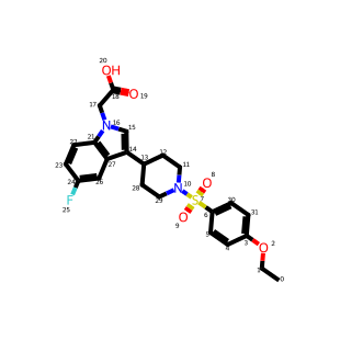 CCOc1ccc(S(=O)(=O)N2CCC(c3cn(CC(=O)O)c4ccc(F)cc34)CC2)cc1